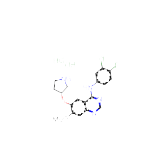 COc1cc2ncnc(Nc3ccc(F)c(Cl)c3)c2cc1O[C@H]1CCNC1.Cl.Cl